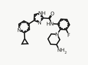 NC1CCCN(c2c(F)cccc2NC(=O)c2nc(-c3ccnc(C4CC4)c3)c[nH]2)C1